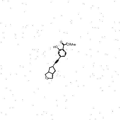 COC(=O)c1ccc(C#CC2CC3COCC3C2)cc1O